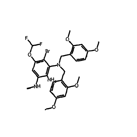 CNc1cc(OC(F)F)c(Br)c(N(Cc2ccc(OC)cc2OC)Cc2ccc(OC)cc2OC)c1N